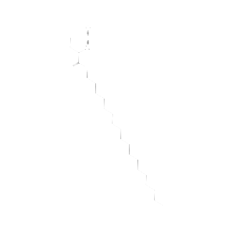 CCCCCCCCCCCCCCCCCCOC(=O)C(CC)N=C=O